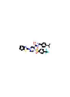 CC(C)c1ccc(CNC(=O)[C@H]2CN(c3nc4ccccc4s3)CCN2S(=O)(=O)c2ccc(C(F)(F)F)cc2)cc1